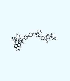 C[C@@H]1CN(c2ccc3c(c2)C(=O)N(C2CCC(=O)NC2=O)C3=O)CCN1CC1CCN(c2ccc(C(=O)N[C@H]3C(C)(C)[C@@H]4Oc5ccc(C#N)c6nccc(c56)C34C)cc2)CC1